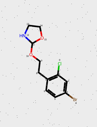 Clc1cc(Br)ccc1CCOC1NCCO1